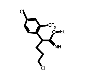 CCOC(=N)C(CCCCl)c1ccc(Cl)cc1C(F)(F)F